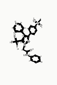 CS(=O)(=O)c1ccc(-c2nn(CC(=O)Nc3ccccc3)c(C(F)(F)F)c2-c2ccncc2)cc1